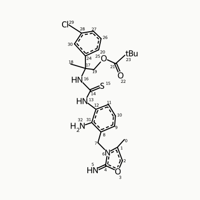 Cc1coc(=N)n1Cc1cccc(NC(=S)NC(C)(COC(=O)C(C)(C)C)c2cccc(Cl)c2)c1N